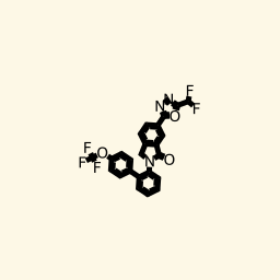 O=C1c2cc(-c3nnc(C(F)F)o3)ccc2CN1c1ccccc1-c1ccc(OC(F)(F)F)cc1